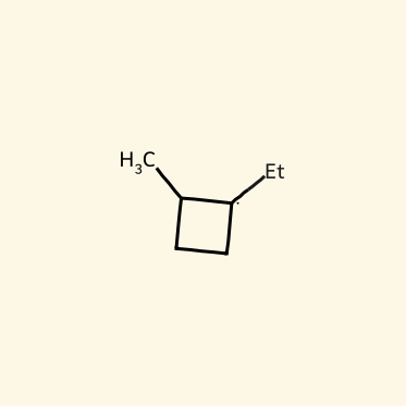 CC[C]1CCC1C